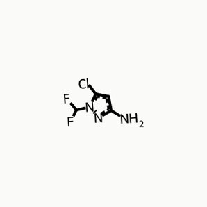 Nc1cc(Cl)n(C(F)F)n1